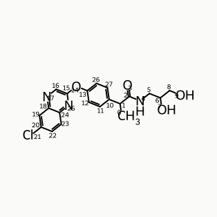 CC(C(=O)NCC(O)CO)c1ccc(Oc2cnc3cc(Cl)ccc3n2)cc1